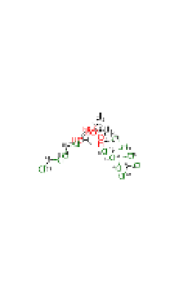 CO.CO.CO.CO.ClCCl.ClCCl.ClCCl.ClCCl.ClCCl.ClCCl